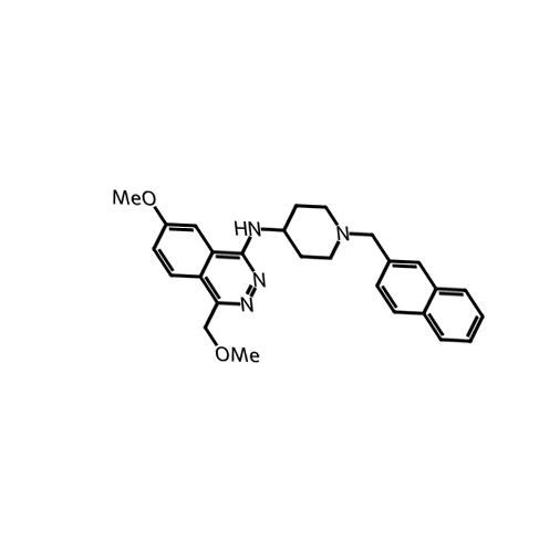 COCc1nnc(NC2CCN(Cc3ccc4ccccc4c3)CC2)c2cc(OC)ccc12